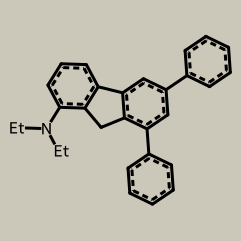 CCN(CC)c1cccc2c1Cc1c(-c3ccccc3)cc(-c3ccccc3)cc1-2